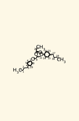 CCCCc1ccc(OCC(COc2ccc(CCCC)cc2)OC(=O)CC)cc1